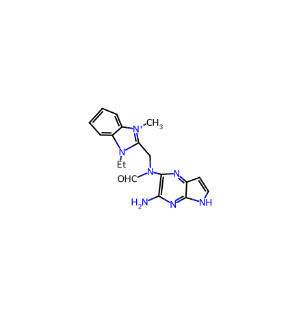 CCn1c(CN(C=O)c2nc3cc[nH]c3nc2N)[n+](C)c2ccccc21